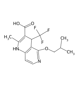 CC1=C(C(=O)O)C(C(F)(F)F)c2c(ccnc2OCC(C)C)N1